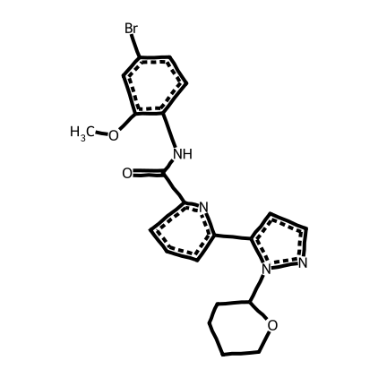 COc1cc(Br)ccc1NC(=O)c1cccc(-c2ccnn2C2CCCCO2)n1